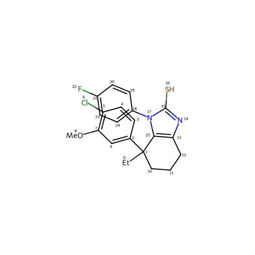 CCC1(c2ccc(Cl)c(OC)c2)CCCc2nc(S)n(-c3ccc(F)cc3)c21